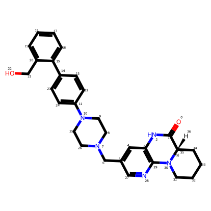 O=C1Nc2cc(CN3CCN(c4ccc(-c5ccccc5CO)cc4)CC3)cnc2N2CCCC[C@@H]12